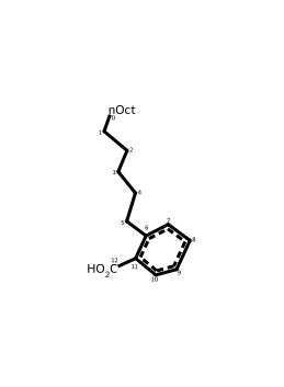 CCCCCCCCCCCCCc1ccccc1C(=O)O